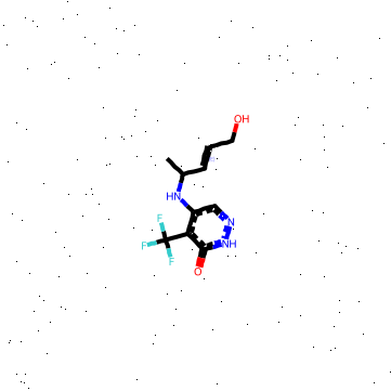 CC(/C=C/CO)Nc1cn[nH]c(=O)c1C(F)(F)F